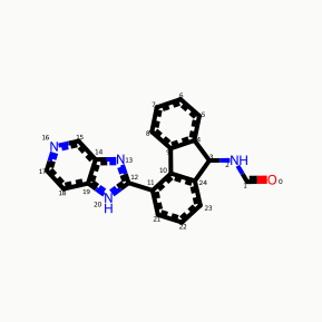 O=CNC1c2ccccc2-c2c(-c3nc4cnccc4[nH]3)cccc21